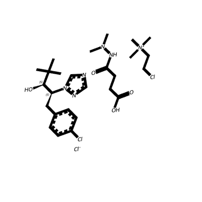 CC(C)(C)[C@H](O)[C@H](Cc1ccc(Cl)cc1)n1cncn1.CN(C)NC(=O)CCC(=O)O.C[N+](C)(C)CCCl.[Cl-]